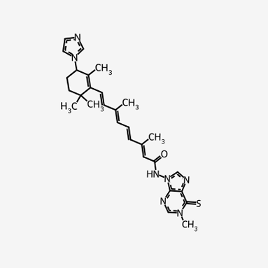 CC1=C(/C=C/C(C)=C/C=C/C(C)=C/C(=O)Nn2cnc3c(=S)n(C)cnc32)C(C)(C)CCC1n1ccnc1